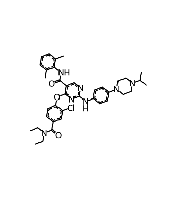 CCN(CC)C(=O)c1ccc(Oc2nc(Nc3ccc(N4CCN(C(C)C)CC4)cc3)ncc2C(=O)Nc2c(C)cccc2C)c(Cl)c1